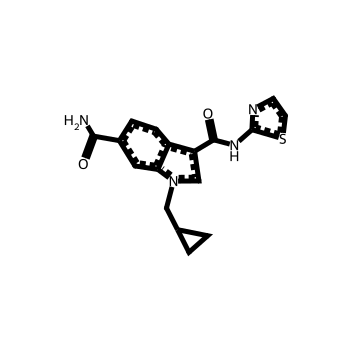 NC(=O)c1ccc2c(C(=O)Nc3nccs3)cn(CC3CC3)c2c1